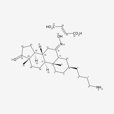 C[C@]12CC[C@H](CCCCN)CC1/C(=N/O)C[C@@H]1[C@@H]2CC[C@]2(C)C(=O)CC[C@@H]12.O=C(O)/C=C/C(=O)O